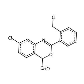 O=CC1OC(c2ccccc2CCl)=Nc2cc(Cl)ccc21